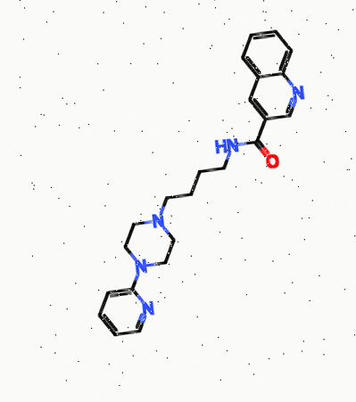 O=C(NCCCCN1CCN(c2ccccn2)CC1)c1cnc2ccccc2c1